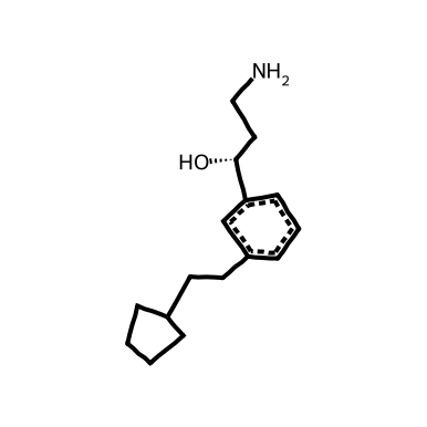 NCC[C@@H](O)c1cccc(CCC2CCCC2)c1